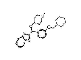 CN1CCC(OC(c2cccc(OCC3CCCCC3)c2)c2nc3ccccc3s2)CC1